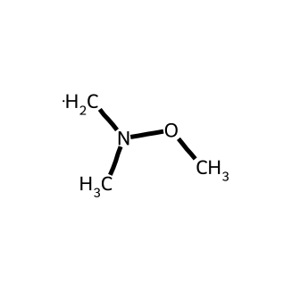 [CH2]N(C)OC